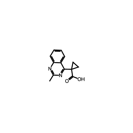 Cc1nc(C2(C(=O)O)CC2)c2ccccc2n1